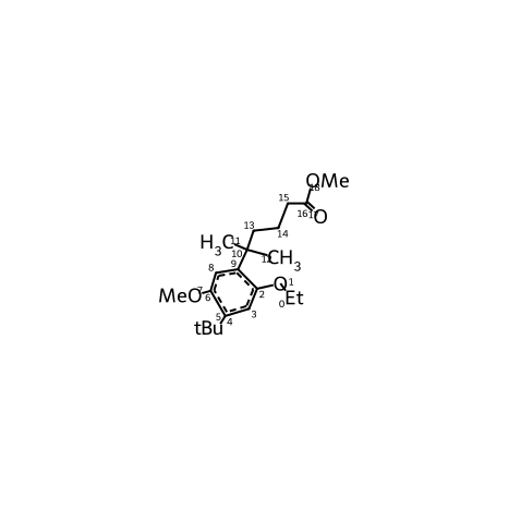 CCOc1cc(C(C)(C)C)c(OC)cc1C(C)(C)CCCC(=O)OC